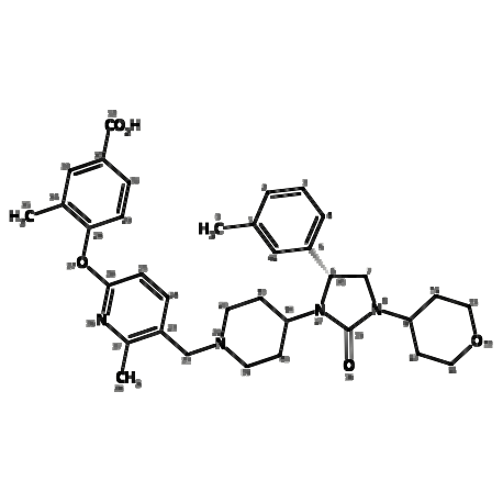 Cc1cccc([C@@H]2CN(C3CCOCC3)C(=O)N2C2CCN(Cc3ccc(Oc4ccc(C(=O)O)cc4C)nc3C)CC2)c1